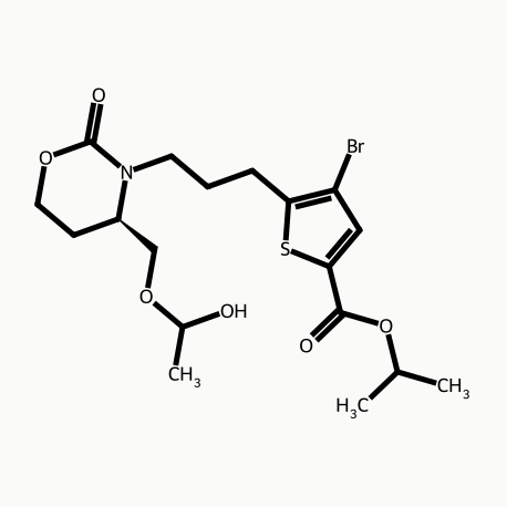 CC(C)OC(=O)c1cc(Br)c(CCCN2C(=O)OCC[C@@H]2COC(C)O)s1